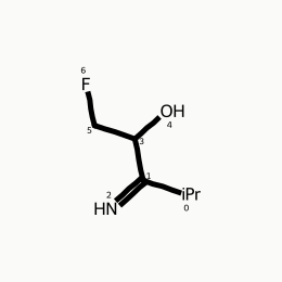 CC(C)C(=N)C(O)CF